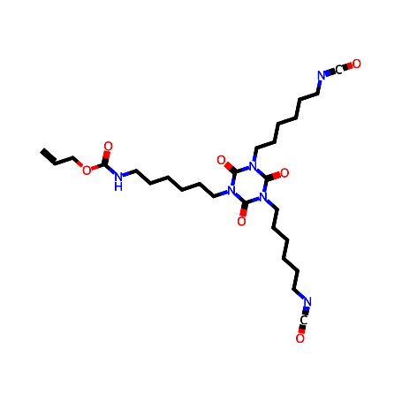 C=CCOC(=O)NCCCCCCn1c(=O)n(CCCCCCN=C=O)c(=O)n(CCCCCCN=C=O)c1=O